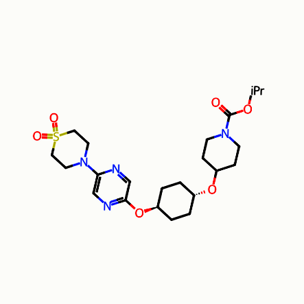 CC(C)OC(=O)N1CCC(O[C@H]2CC[C@H](Oc3cnc(N4CCS(=O)(=O)CC4)cn3)CC2)CC1